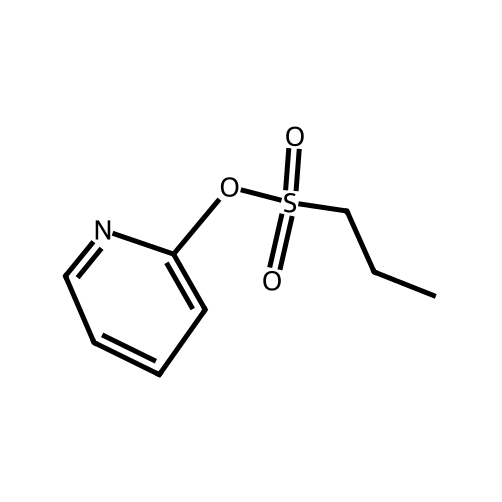 CCCS(=O)(=O)Oc1ccccn1